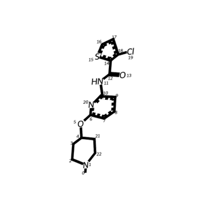 CN1CCC(Oc2cccc(NC(=O)c3sccc3Cl)n2)CC1